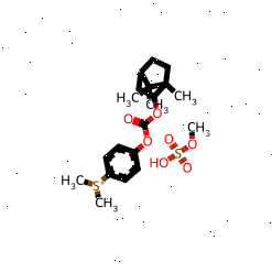 COS(=O)(=O)O.C[S+](C)c1ccc(OC(=O)OC2CC3CCC2(C)C3(C)C)cc1